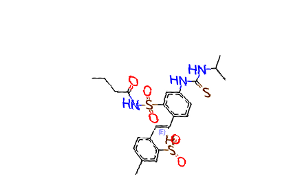 CCCC(=O)NS(=O)(=O)c1cc(NC(=S)NC(C)C)ccc1/C=C/c1ccc(C)cc1[SH](=O)=O